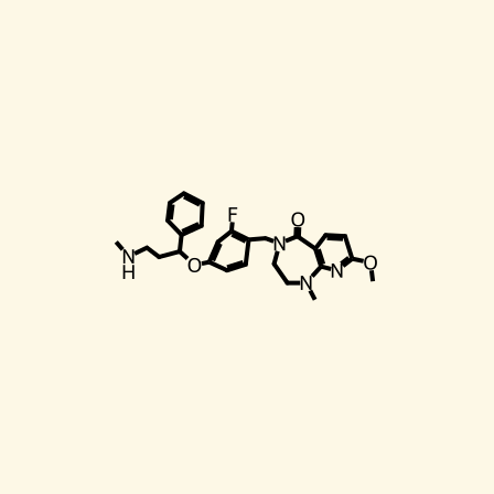 CNCCC(Oc1ccc(CN2CCN(C)c3nc(OC)ccc3C2=O)c(F)c1)c1ccccc1